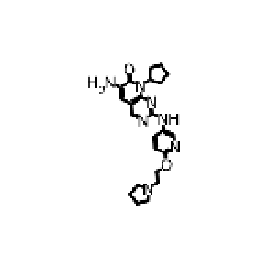 Nc1cc2cnc(Nc3ccc(OCCN4CCCC4)nc3)nc2n(C2CCCC2)c1=O